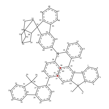 CC1(C)c2ccccc2-c2c(-c3ccccc3N(c3ccc(-c4cccc5c4C(C)(C)c4ccccc4-5)cc3)c3ccc4c(c3)-c3ccccc3C43C4CC5CC(C4)C3C5)cccc21